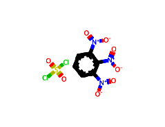 O=S(=O)(Cl)Cl.O=[N+]([O-])c1cccc([N+](=O)[O-])c1[N+](=O)[O-]